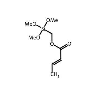 C/C=C/C(=O)OC[Si](OC)(OC)OC